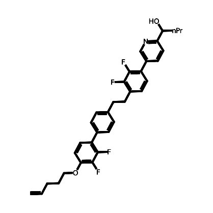 C=CCCCOc1ccc(-c2ccc(CCc3ccc(-c4ccc(C(O)CCC)nc4)c(F)c3F)cc2)c(F)c1F